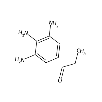 CCC=O.Nc1cccc(N)c1N